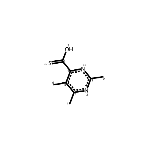 Cc1nc(C)c(C)c(C(O)=S)n1